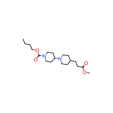 CCCCOC(=O)N1CCC(N2CCC(CCC(=O)OC)CC2)CC1